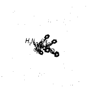 NCCCC[C@H](NC(=O)[C@@H]1C[C@@H](OCc2ccccc2)CN1C(=O)[C@@H](Cc1ccc(OCc2ccccc2)cc1)NC(=O)OCc1ccccc1)C(=O)c1nc2ccccc2o1